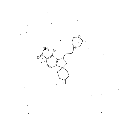 NC(=O)c1ccc2c(c1Br)N(CCN1CCOCC1)CC21CCNCC1